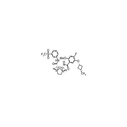 COc1cc(F)c(O[C@H]2C[C@H](C)C2)cc1C(=O)N[C@@H]1[C@@H]2CC[C@@H](C2)[C@@H]1C(=O)Nc1cccc(S(=O)(=O)C(F)(F)F)c1